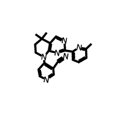 Cc1cccc(-c2ncc3c(n2)N(c2ccncc2C#N)CCC3(C)C)n1